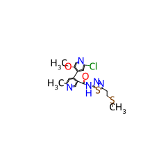 COc1cnc(Cl)cc1-c1cc(C)ncc1C(=O)Nc1nnc(CCSC)s1